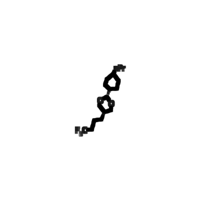 CCCC1CCC([C@H]2OC[C@H](CCCC(F)(F)F)CO2)CC1